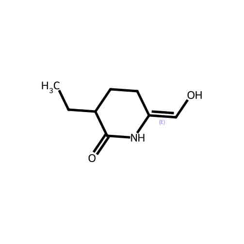 CCC1CC/C(=C\O)NC1=O